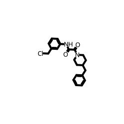 O=C(Nc1cccc(CCl)c1)C(=O)N1CCC(Cc2ccccc2)CC1